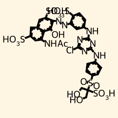 CC(=O)Nc1cc(S(=O)(=O)O)cc2cc(S(=O)(=O)O)c(N=Nc3cc(Nc4nc(Cl)nc(Nc5ccc(S(=O)(=O)C(CO)(CO)S(=O)(=O)O)cc5)n4)ccc3S(=O)(=O)O)c(O)c12